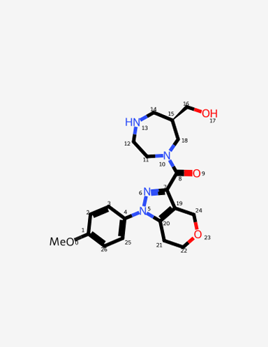 COc1ccc(-n2nc(C(=O)N3CCNC[C@@H](CO)C3)c3c2CCOC3)cc1